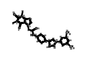 Cn1c(=O)c2c(ncn2CC(=O)Nc2ccc(-c3cn(-c4cc(C(F)(F)F)cc(C(F)(F)F)c4)nn3)cc2)n(C)c1=O